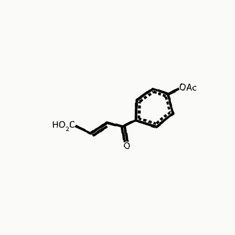 CC(=O)Oc1ccc(C(=O)C=CC(=O)O)cc1